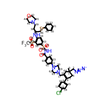 CC1(CN=[N+]=[N-])CCC(c2ccc(Cl)cc2)=C(CN2CCN(c3ccc(C(=O)NS(=O)(=O)c4ccc(NC(CCN5CCOCC5)CSc5ccccc5)c(S(=O)(=O)C(F)(F)F)c4)cc3)CC2)C1